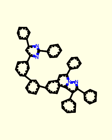 c1ccc(-c2cc(-c3cccc(-c4cccc(-c5ccc6c(c5)cc(-c5ccccc5)n5nc(-c7ccccc7)c(-c7ccccc7)c65)c4)c3)nc(-c3ccccc3)n2)cc1